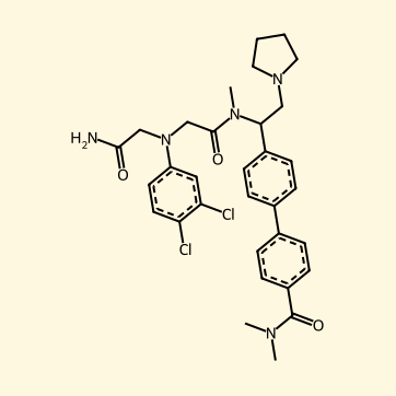 CN(C)C(=O)c1ccc(-c2ccc(C(CN3CCCC3)N(C)C(=O)CN(CC(N)=O)c3ccc(Cl)c(Cl)c3)cc2)cc1